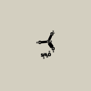 O.[O]=[Ti]([O-])[O-].[Sr+2]